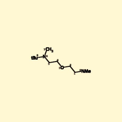 CNCCOCCN(C)C(C)(C)C